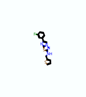 Fc1cccc(-c2cn3nc(NCc4cccs4)sc3n2)c1